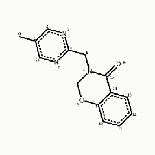 Cc1cnc(CN2COc3ccccc3C2=O)nc1